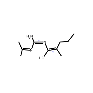 CCC/C(C)=C(O)\N=C(\N)N=C(C)C